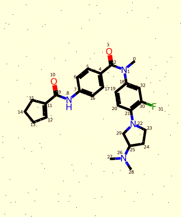 CN(C(=O)c1ccc(NC(=O)C2=CCCC2)cc1)c1ccc(N2CCC(N(C)C)C2)c(F)c1